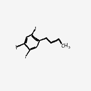 CCCCc1cc(I)c(I)cc1I